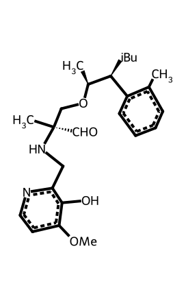 CCC(C)[C@@H](c1ccccc1C)[C@H](C)OC[C@@](C)(C=O)NCc1nccc(OC)c1O